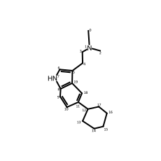 CN(C)CCc1c[nH]c2ccc(C3CCCCC3)cc12